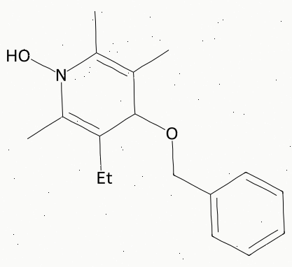 CCC1=C(C)N(O)C(C)=C(C)C1OCc1ccccc1